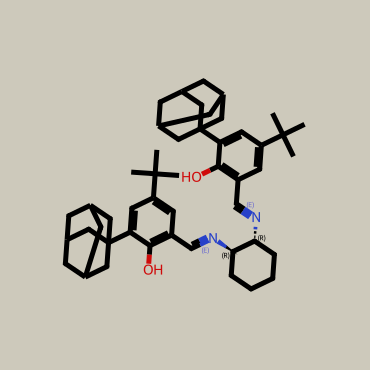 CC(C)(C)c1cc(/C=N/[C@@H]2CCCC[C@H]2/N=C/c2cc(C(C)(C)C)cc(C34CC5CC(CC(C5)C3)C4)c2O)c(O)c(C23CC4CC(CC(C4)C2)C3)c1